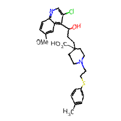 COc1ccc2ncc(Cl)c(C(O)CCC3(C(=O)O)CCN(CCSc4ccc(C)cc4)CC3)c2c1